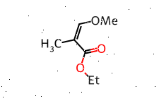 CCOC(=O)/C(C)=C\OC